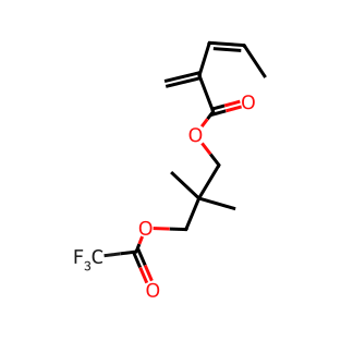 C=C(/C=C\C)C(=O)OCC(C)(C)COC(=O)C(F)(F)F